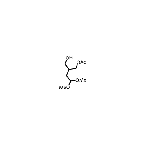 COC(CC(CO)COC(C)=O)OC